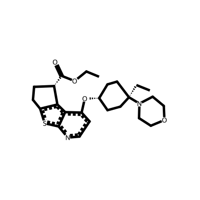 CCOC(=O)[C@H]1CCc2sc3nccc(O[C@H]4CC[C@](CC)(N5CCOCC5)CC4)c3c21